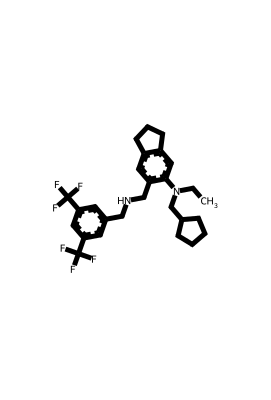 CCN(CC1CCCC1)c1cc2c(cc1CNCc1cc(C(F)(F)F)cc(C(F)(F)F)c1)CCC2